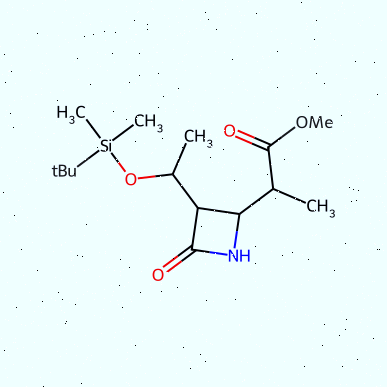 COC(=O)C(C)C1NC(=O)C1C(C)O[Si](C)(C)C(C)(C)C